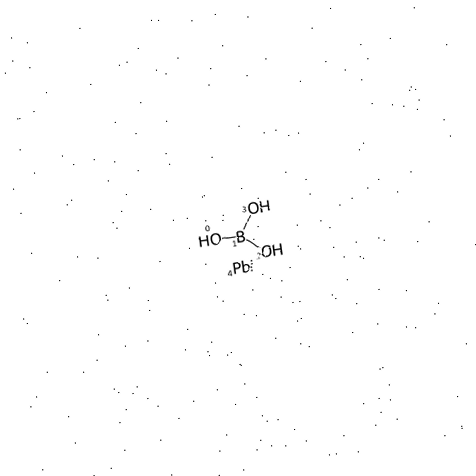 OB(O)O.[Pb]